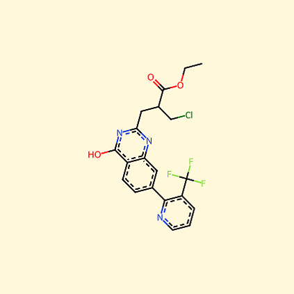 CCOC(=O)C(CCl)Cc1nc(O)c2ccc(-c3ncccc3C(F)(F)F)cc2n1